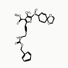 CCN(c1sc(C#CCNC(=O)OCc2ccccc2)c(C(=O)OC)c1C)C1CCC2(CC1)OCCO2